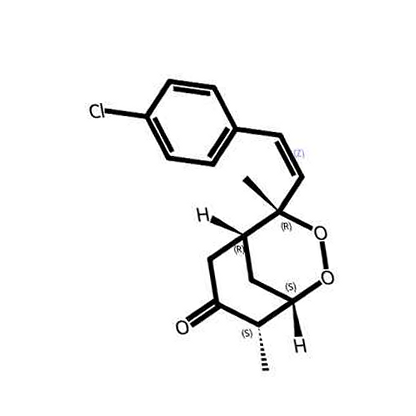 C[C@@H]1C(=O)C[C@H]2C[C@@H]1OO[C@@]2(C)/C=C\c1ccc(Cl)cc1